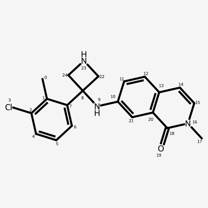 Cc1c(Cl)cccc1C1(Nc2ccc3ccn(C)c(=O)c3c2)CNC1